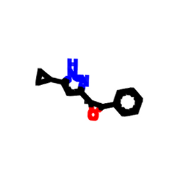 c1ccc(C2O[C]2c2cc(C3CC3)[nH]n2)cc1